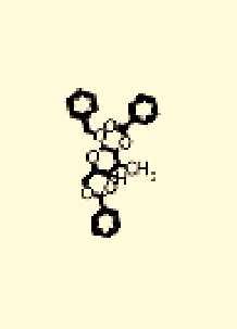 C[C@@H]1C(OC(=O)c2ccccc2)[C@H](OCc2ccccc2)OC2COC(c3ccccc3)O[C@H]21